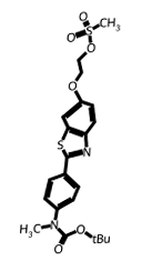 CN(C(=O)OC(C)(C)C)c1ccc(-c2nc3ccc(OCCOS(C)(=O)=O)cc3s2)cc1